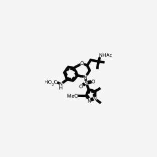 COc1nn(C)c(C)c1S(=O)(=O)N1CC(CC(C)(C)NC(C)=O)Oc2ccc(NC(=O)O)cc21